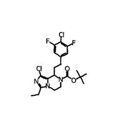 CCc1nc(Cl)c2n1CCN(C(=O)OC(C)(C)C)C2CCc1cc(F)c(Cl)c(F)c1